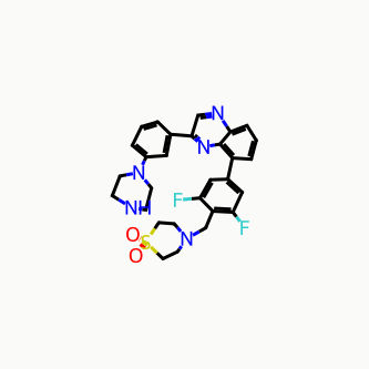 O=S1(=O)CCN(Cc2c(F)cc(-c3cccc4ncc(-c5cccc(N6CCNCC6)c5)nc34)cc2F)CC1